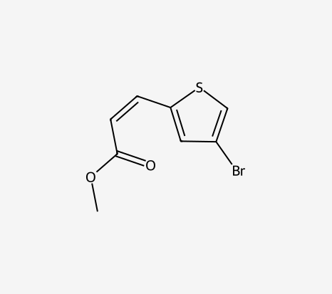 COC(=O)/C=C\c1cc(Br)cs1